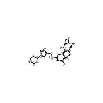 N#Cc1cnc2c(Cl)cc(NCc3cn(C4CCNCC4)nn3)cc2c1NC1CCC1